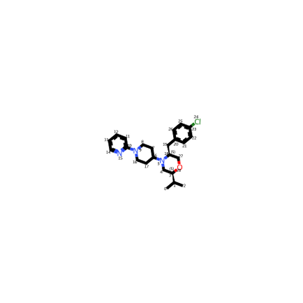 CC(C)[C@H]1CN(C2CCN(c3ccccn3)CC2)[C@@H](Cc2ccc(Cl)cc2)CO1